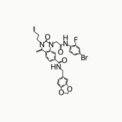 C=CCCN1C(=C)c2ccc(C(=O)NCc3ccc4c(c3)OCO4)cc2N(CC(=O)Nc2ccc(Br)cc2F)C1=O